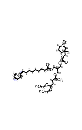 CCCCC/C=C\C/C=C\CCCCCCCC(=O)OCC(COC(=O)OCC1(C)CCCN(CC)C1)COC(O)CCC(OCCCCCCCC)OCCCCCCCC